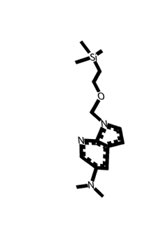 CN(C)c1cnc2c(ccn2COCC[Si](C)(C)C)c1